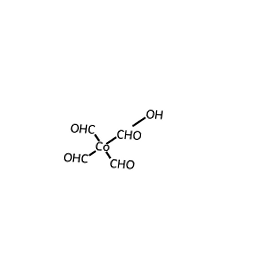 CO.O=[CH][Co]([CH]=O)([CH]=O)[CH]=O